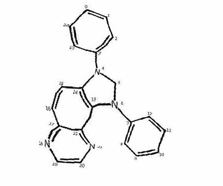 c1ccc(N2CN(c3ccccc3)c3c2ccc2nccnc32)cc1